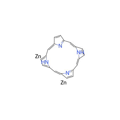 C1=Cc2cc3ccc(cc4nc(cc5ccc(cc1n2)[nH]5)C=C4)[nH]3.[Zn].[Zn]